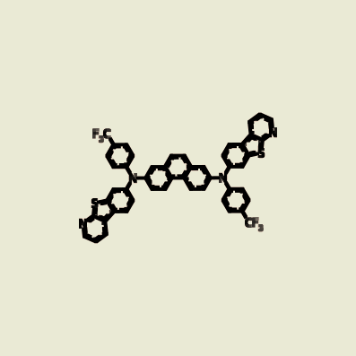 FC(F)(F)c1ccc(N(c2ccc3c(ccc4cc(N(c5ccc(C(F)(F)F)cc5)c5ccc6c(c5)sc5ncccc56)ccc43)c2)c2ccc3c(c2)sc2ncccc23)cc1